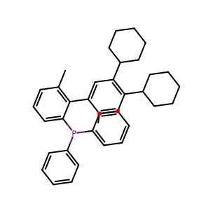 Cc1cc(C2CCCCC2)c(C2CCCCC2)[c]c1-c1c(C)cccc1P(c1ccccc1)c1ccccc1